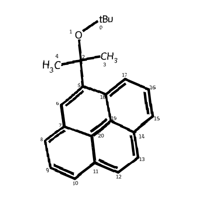 CC(C)(C)OC(C)(C)c1cc2cccc3ccc4cccc1c4c32